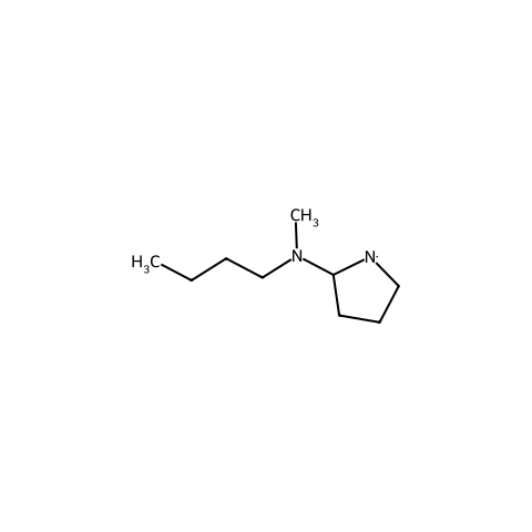 CCCCN(C)C1CCC[N]1